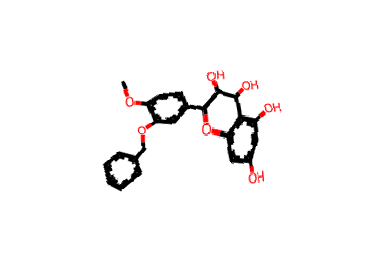 COc1ccc(C2Oc3cc(O)cc(O)c3C(O)C2O)cc1OCc1ccccc1